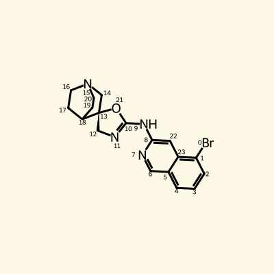 Brc1cccc2cnc(NC3=NC[C@@]4(CN5CCC4CC5)O3)cc12